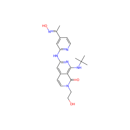 CC(=NO)c1ccnc(Nc2cc3ccn(CCO)c(=O)c3c(NC(C)(C)C)n2)c1